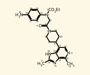 CCOC(=O)N(CC(=O)N1CCC(c2cnc(C)c3nc(C)[nH]c23)CC1)c1ccc(N)cc1